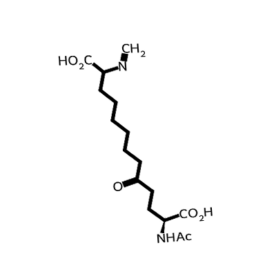 C=NC(CCCCCCC(=O)CC[C@H](NC(C)=O)C(=O)O)C(=O)O